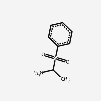 [CH2]C(N)S(=O)(=O)c1ccccc1